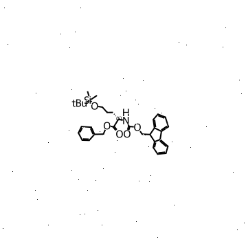 CC(C)(C)[Si](C)(C)OCCC[C@H](NC(=O)OCC1c2ccccc2-c2ccccc21)C(=O)OCc1ccccc1